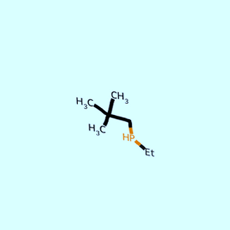 CCPCC(C)(C)C